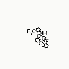 Cc1cccc(F)c1C(=O)N1CCCC(C(=O)Nc2cccc(C(F)(F)F)c2)[C@@H]1C1C=CC=CC1